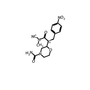 CN(C#N)C(=O)[C@@H](Cc1ccc([N+](=O)[O-])cc1)C1CN(C(N)=O)CCO1